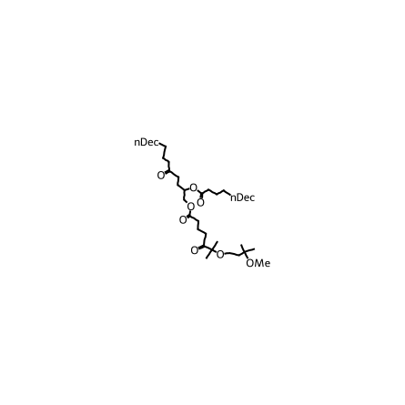 CCCCCCCCCCCCCC(=O)CCC(COC(=O)CCCC(=O)C(C)(C)OCCC(C)(C)OC)OC(=O)CCCCCCCCCCCCC